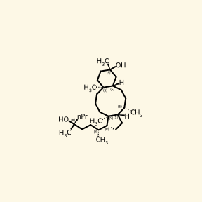 CCC[C@@](C)(O)CC[C@@H](C)[C@H]1CC[C@H]2[C@@H](C)CC[C@H]3C[C@@](C)(O)CC[C@]3(C)CCC[C@]12C